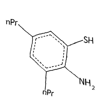 CCCc1cc(S)c(N)c(CCC)c1